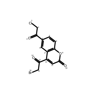 O=C(CCl)c1ccc2oc(=O)cc(C(=O)CBr)c2c1